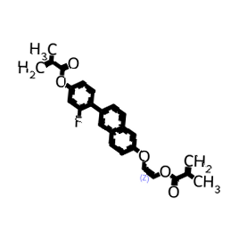 C=C(C)C(=O)O/C=C\Oc1ccc2cc(-c3ccc(OC(=O)C(=C)C)cc3F)ccc2c1